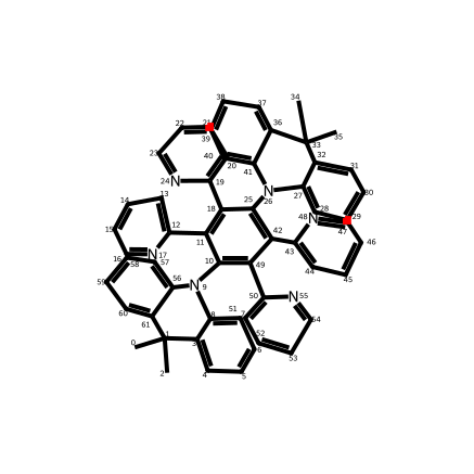 CC1(C)c2ccccc2N(c2c(-c3ccccn3)c(-c3ccccn3)c(N3c4ccccc4C(C)(C)c4ccccc43)c(-c3ccccn3)c2-c2ccccn2)c2ccccc21